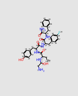 CC(C)CC(NC(O)CN)C(=O)NC(Cc1ccc(O)cc1)C(=O)NC(Cc1ccc(F)cc1)C(=O)NC(Cc1ccccc1)C(N)=O